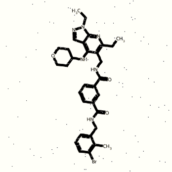 CCc1nc2c(cnn2CC)c(NC2CCOCC2)c1CNC(=O)c1cccc(C(=O)NCc2cccc(Br)c2C)c1